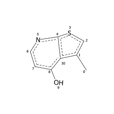 Cc1csc2nccc(O)c12